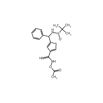 CC(=O)ONC(=N)c1csc(C(N[S+]([O-])C(C)(C)C)c2ccccc2)c1